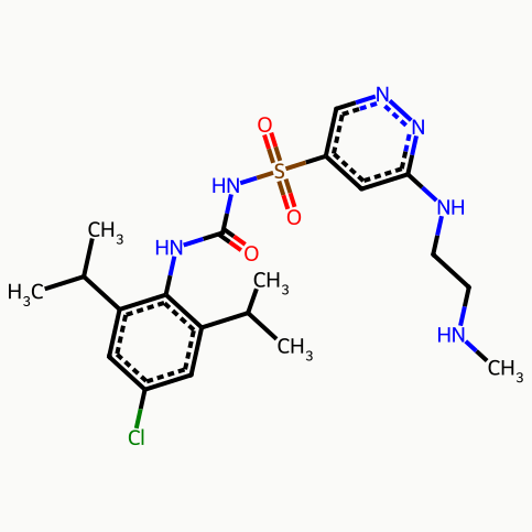 CNCCNc1cc(S(=O)(=O)NC(=O)Nc2c(C(C)C)cc(Cl)cc2C(C)C)cnn1